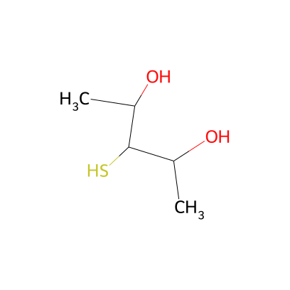 CC(O)C(S)C(C)O